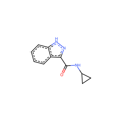 O=C(NC1CC1)c1n[nH]c2c[c]ccc12